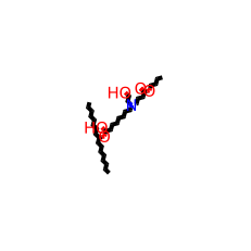 CCCCCCCCC(CCCCCCCC)OC(O)CCCCCCCN(CCO)CCCC(=O)OCCCC